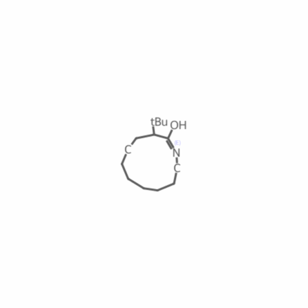 CC(C)(C)C1CCCCCCCC/N=C\1O